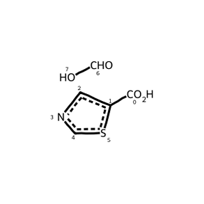 O=C(O)c1cncs1.O=CO